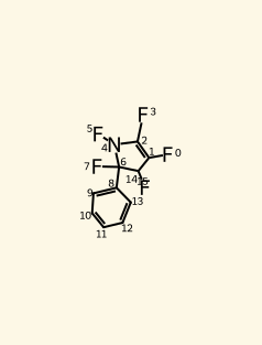 FC1=C(F)N(F)C(F)(c2ccccc2)C1F